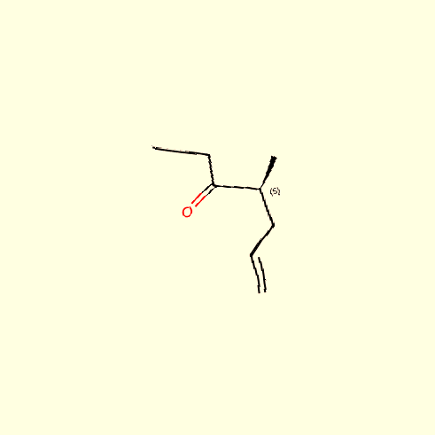 C=CC[C@H](C)C(=O)CC